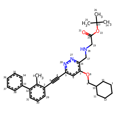 Cc1c(C#Cc2cc(OCC3CCCCC3)c(CNCC(=O)OC(C)(C)C)nn2)cccc1-c1ccccc1